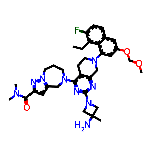 CCc1c(F)ccc2cc(OCOC)cc(N3CCc4c(nc(N5CC(C)(N)C5)nc4N4CCCn5nc(C(=O)N(C)C)cc5C4)C3)c12